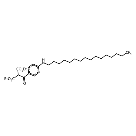 CCOC(=O)C(C(=O)OCC)C(=O)c1ccc(NCCCCCCCCCCCCCCCC(F)(F)F)cc1